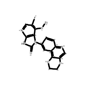 CCOc1c(F)cnc2[nH]c(=O)n(-c3ccc4ncc5c(c4c3)OCCO5)c12